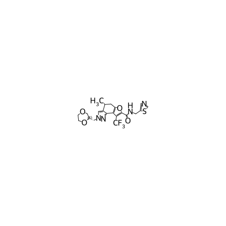 CC1Cc2oc(C(=O)NCc3cncs3)c(C(F)(F)F)c2-c2nn(C[C@H]3COCCO3)cc21